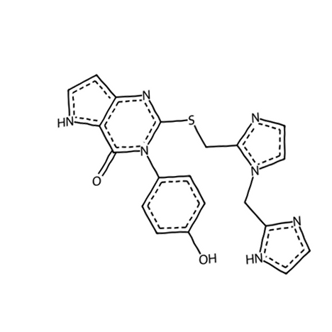 O=c1c2[nH]ccc2nc(SCc2nccn2Cc2ncc[nH]2)n1-c1ccc(O)cc1